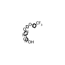 Oc1cc(-c2cnc(O[C@H]3C[C@@H](Oc4cccc(C(F)(F)F)c4)C3)cn2)on1